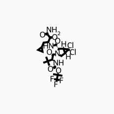 CC(C)(C)[C@H](NC(=O)OC(C)(C)C(F)(F)F)C(=O)N1C[C@H]2[C@@H]([C@H]1C(=O)NC(CC1CC1)C(=O)C(N)=O)C2(Cl)Cl